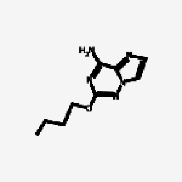 CCCCOc1nc(N)c2nccn2n1